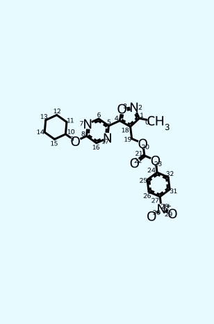 Cc1noc(-c2cnc(OC3CCCCC3)cn2)c1COC(=O)Oc1ccc([N+](=O)[O-])cc1